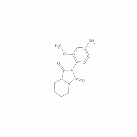 COc1cc(N)ccc1N1C(=O)C2CCCCN2C1=O